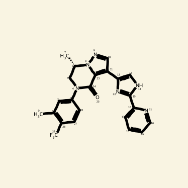 Cc1cc(N2C[C@H](C)n3ncc(-c4c[nH]c(-c5ccccn5)n4)c3C2=O)ccc1C(F)(F)F